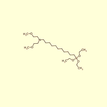 CCO[Si](CCCCCCCCCCCN(CCOC)CCOC)(OCC)OCC